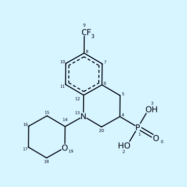 O=P(O)(O)C1Cc2cc(C(F)(F)F)ccc2N(C2CCCCO2)C1